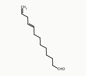 C=CCC=CCCCCCCCC=O